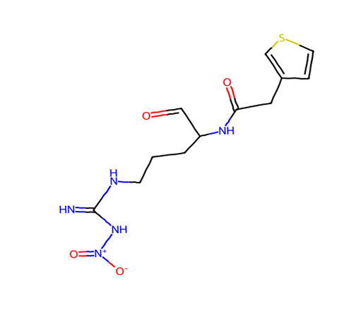 N=C(NCCCC(C=O)NC(=O)Cc1ccsc1)N[N+](=O)[O-]